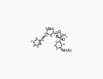 CC(=O)Nc1cccc(S(C)(=O)=NC(=O)c2cncc(C#Cc3ccccn3)c2)c1